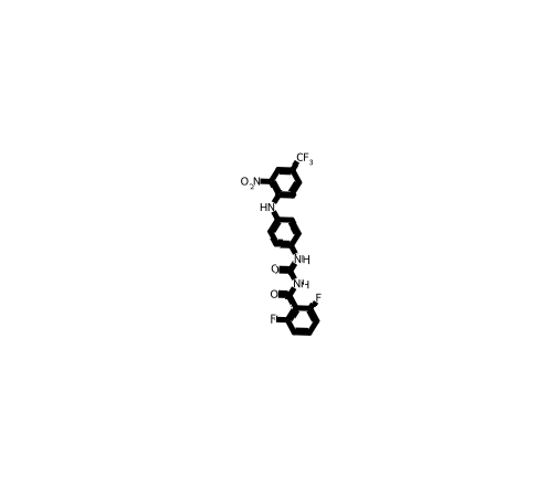 O=C(NC(=O)c1c(F)cccc1F)Nc1ccc(Nc2ccc(C(F)(F)F)cc2[N+](=O)[O-])cc1